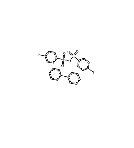 O=S(=O)(OS(=O)(=O)c1ccc(I)cc1)c1ccc(I)cc1.c1ccc(-c2ccccc2)cc1